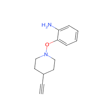 C#CC1CCN(Oc2ccccc2N)CC1